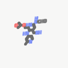 Cc1cc(NC2=C(C=N)C=C(NC=O)NC2COC2COC2)ccn1